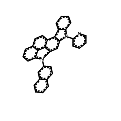 c1ccc(-n2c3ccccc3c3c4ccc5cccc6c5c4c(cc32)n6-c2ccc3ccccc3c2)nc1